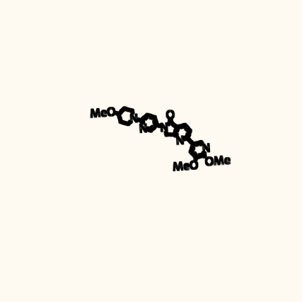 COc1cc(-c2ccc3c(n2)CN(c2ccc(N4CCC(OC)CC4)nc2)C3=O)cnc1OC